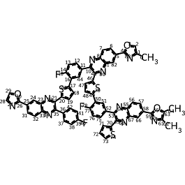 Cc1coc(-c2ccc3nc(-c4ccc(F)c(-c5ccc(-c6nc7cc(-c8ncco8)ccc7nc6-c6ccc(F)cc6)s5)c4)c(-c4ccc(-c5cc(-c6nc7ccc(-c8nc(C)c(C)o8)cc7nc6-c6cccs6)ccc5F)s4)nc3c2)n1